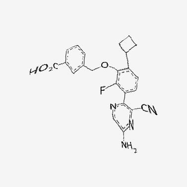 N#Cc1nc(N)cnc1-c1ccc(C2CCC2)c(OCc2cccc(C(=O)O)c2)c1F